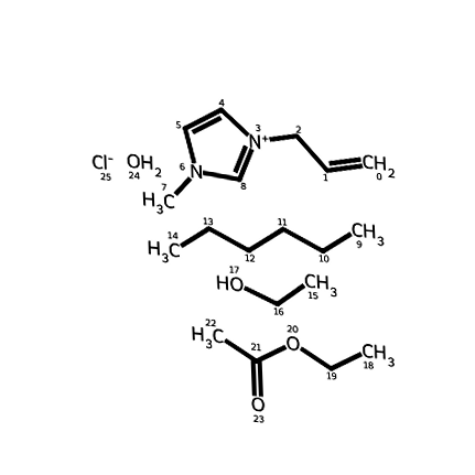 C=CC[n+]1ccn(C)c1.CCCCCC.CCO.CCOC(C)=O.O.[Cl-]